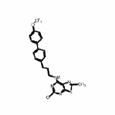 Cc1nc2c(NCCCc3ccc(-c4ccc(OC(F)(F)F)cc4)cc3)nc(Cl)nc2s1